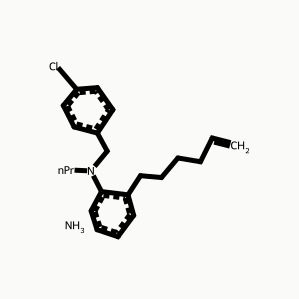 C=CCCCCc1ccccc1N(CCC)Cc1ccc(Cl)cc1.N